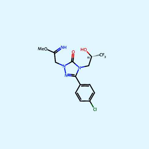 COC(=N)Cn1nc(-c2ccc(Cl)cc2)n(C[C@H](O)C(F)(F)F)c1=O